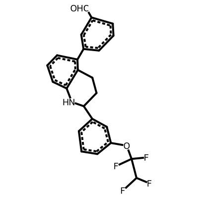 O=Cc1cccc(-c2cccc3c2CCC(c2cccc(OC(F)(F)C(F)F)c2)N3)c1